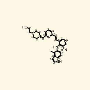 Cc1c(Nc2c(C#N)cncc2C=Cc2cccc(CN3CCN(CCO)CC3)n2)ccc2[nH]ccc12